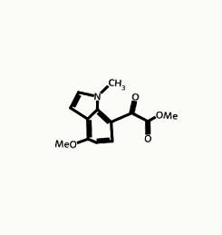 COC(=O)C(=O)c1ccc(OC)c2ccn(C)c12